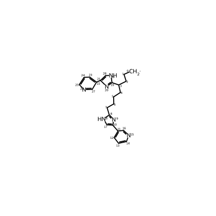 [CH2]CCC(CCCCc1nc(-c2cccnc2)c[nH]1)c1nc(-c2cccnc2)c[nH]1